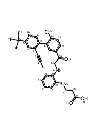 CC#Cc1cc(C(F)(F)F)ncc1-c1cc(C(=O)CNc2ccccc2OCCC(=O)O)ccc1Cl